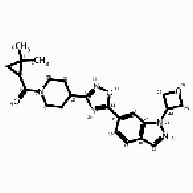 CC1(C)CC1C(=O)N1CCC(c2noc(-c3ccc4cnn(C5COC5)c4c3)n2)CC1